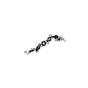 N=C(N)Nc1ccc(CNC(=O)N2CCN(C(=O)O[C@H]3CCC[C@@H](OC(=O)N4CCN(C(=O)NCCCCN)CC4)CCC3)CC2)cc1